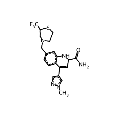 Cn1cc(C2=CC(C(N)=O)Nc3cc(CN4CCSC(C(F)(F)F)C4)ccc32)cn1